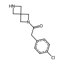 O=C(Cc1ccc(Cl)cc1)N1CC2(CNC2)C1